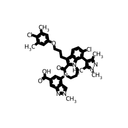 Cc1cc(OCCCc2c3n(c4c(-c5c(C)nn(C)c5C)c(Cl)ccc24)CCCN(c2cc(C(=O)O)cc4nn(C)cc24)C3=O)cc(C)c1Cl